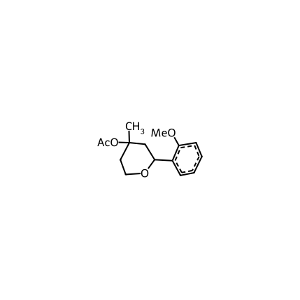 COc1ccccc1C1CC(C)(OC(C)=O)CCO1